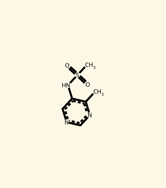 Cc1ncncc1NS(C)(=O)=O